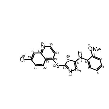 COc1ccccc1Nc1nnc(Sc2ccnc3cc(Cl)ccc23)s1